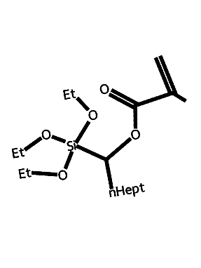 C=C(C)C(=O)OC(CCCCCCC)[Si](OCC)(OCC)OCC